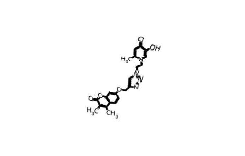 Cc1c(C)c2ccc(OCc3cn(CCn4cc(O)c(=O)cc4C)nn3)cc2oc1=O